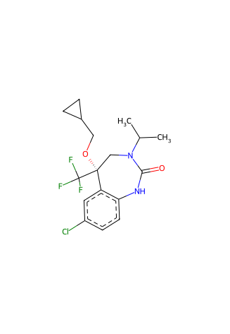 CC(C)N1C[C@](OCC2CC2)(C(F)(F)F)c2cc(Cl)ccc2NC1=O